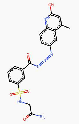 Cc1cc(O)nc2ccc(N=[N+]=NC(=O)c3cccc(S(=O)(=O)NCC(N)=O)c3)cc12